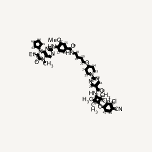 CC[C@@H]1C(=O)N(C)c2cnc(Nc3ccc(C(=O)NCCCCOC4CCN(c5ncc(C(=O)NC6C(C)(C)C(Oc7ccc(C#N)c(Cl)c7)C6(C)C)cn5)CC4)cc3OC)nc2N1C1CCCC1